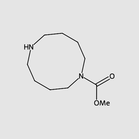 COC(=O)N1CCCCNCCCC1